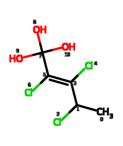 CC(Cl)/C(Cl)=C(\Cl)C(O)(O)O